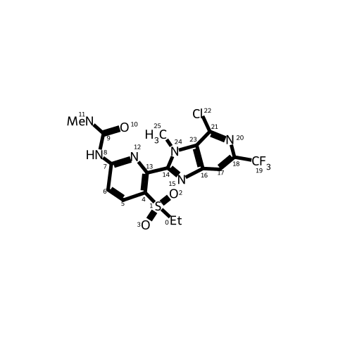 CCS(=O)(=O)c1ccc(NC(=O)NC)nc1-c1nc2cc(C(F)(F)F)nc(Cl)c2n1C